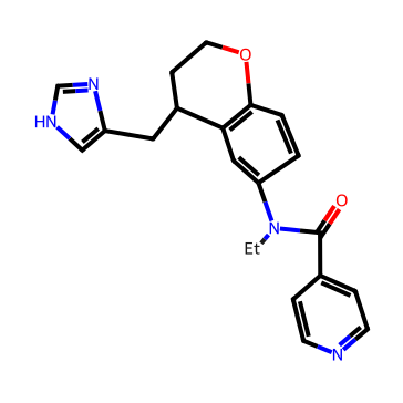 CCN(C(=O)c1ccncc1)c1ccc2c(c1)C(Cc1c[nH]cn1)CCO2